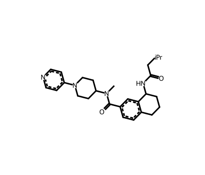 CC(C)CC(=O)NC1CCCc2ccc(C(=O)N(C)C3CCN(c4ccncc4)CC3)cc21